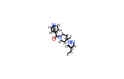 CCc1cnn(C2(C)CCN(C(=O)C34CCN(CC3)CC4)CC2)c1